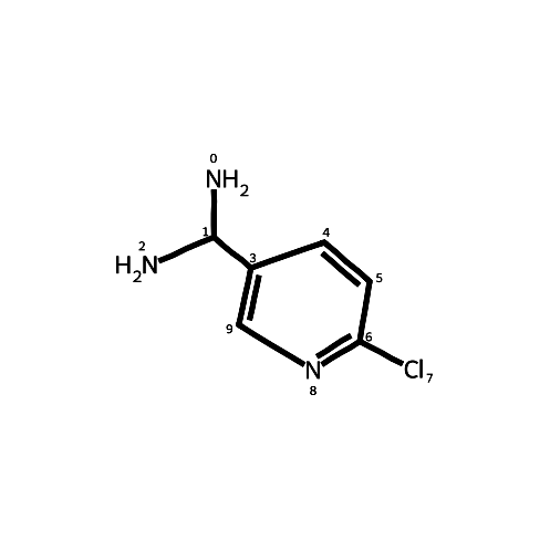 NC(N)c1ccc(Cl)nc1